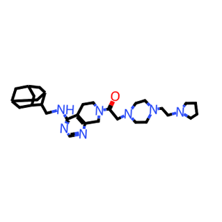 O=C(CN1CCN(CCN2CCCC2)CC1)N1CCc2c(ncnc2NCC2C3CC4CC(C3)CC2C4)C1